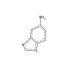 Bc1ccc2scnc2c1